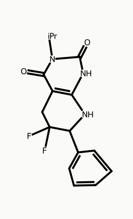 CC(C)n1c(=O)[nH]c2c(c1=O)CC(F)(F)C(c1ccccc1)N2